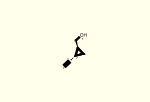 C#C[C@H]1C[C@@H]1CO